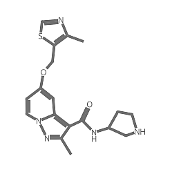 Cc1ncsc1COc1ccn2nc(C)c(C(=O)NC3CCNC3)c2c1